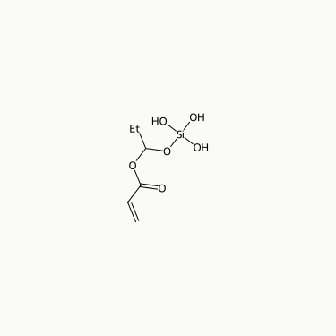 C=CC(=O)OC(CC)O[Si](O)(O)O